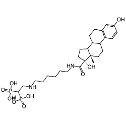 C[C@]12CCC3c4ccc(O)cc4CCC3C1CC[C@]2(O)C(=O)NCCCCCCNCC(P(=O)(O)O)P(=O)(O)O